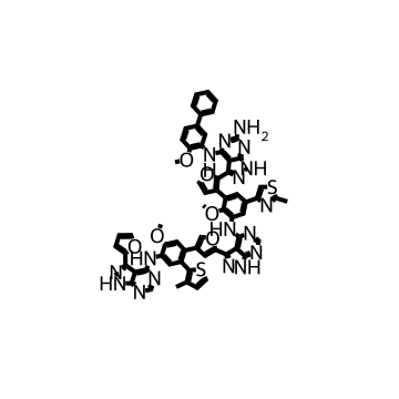 COc1cc(-c2coc(-c3n[nH]c4ncnc(Nc5cc(-c6csc(C)n6)cc(-c6ccoc6-c6n[nH]c7nc(N)nc(Nc8cc(-c9ccccc9)ccc8OC)c67)c5OC)c34)c2)c(-c2sccc2C)cc1Nc1ncnc2[nH]nc(-c3ccco3)c12